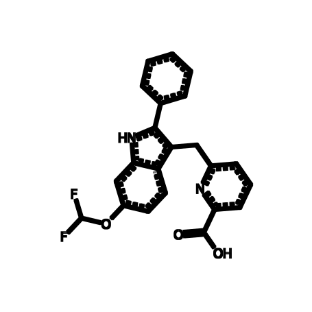 O=C(O)c1cccc(Cc2c(-c3ccccc3)[nH]c3cc(OC(F)F)ccc23)n1